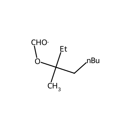 CCCCCC(C)(CC)O[C]=O